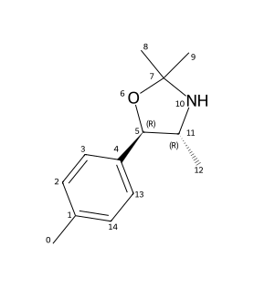 Cc1ccc([C@H]2OC(C)(C)N[C@@H]2C)cc1